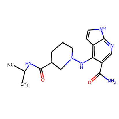 CC(C#N)NC(=O)C1CCCN(Nc2c(C(N)=O)cnc3[nH]ccc23)C1